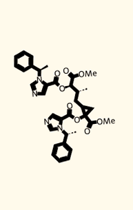 COC(=O)[C@H](OC(=O)c1cncn1[C@H](C)c1ccccc1)[C@H](C)CC1CC1(OC(=O)c1cncn1[C@H](C)c1ccccc1)C(=O)OC